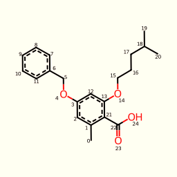 Cc1cc(OCc2ccccc2)cc(OCCCC(C)C)c1C(=O)O